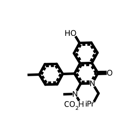 Cc1ccc(-c2c(N(C)C(=O)O)n(CC(C)C)c(=O)c3ccc(O)cc23)cc1